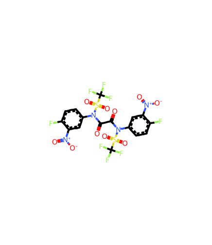 O=C(C(=O)N(c1ccc(F)c([N+](=O)[O-])c1)S(=O)(=O)C(F)(F)F)N(c1ccc(F)c([N+](=O)[O-])c1)S(=O)(=O)C(F)(F)F